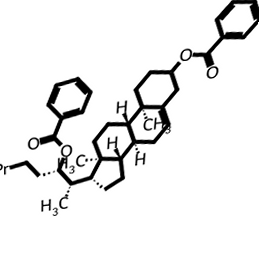 CC(C)CC[C@H](OC(=O)c1ccccc1)[C@@H](C)[C@H]1CC[C@H]2[C@@H]3CC=C4CC(OC(=O)c5ccccc5)CC[C@]4(C)[C@H]3CC[C@]12C